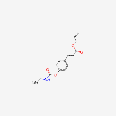 C=CCOC(=O)CCc1ccc(OC(=O)NCC(C)(C)C)cc1